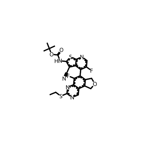 CCSc1ncc2c3c(c(-c4c(F)cnc5sc(NC(=O)OC(C)(C)C)c(C#N)c45)c(F)c2n1)COC3